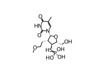 COCC[C@H]1[C@H]([SH]=P(O)(O)O)[C@@H](CO)O[C@H]1n1cc(C)c(=O)[nH]c1=O